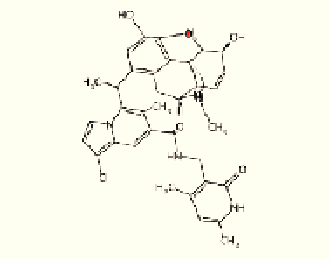 Cc1cc(C)c(CNC(=O)c2cc3c(Cl)ccn3c(C(C)c3cc(O)c4c5c3C[C@@H]3[C@@H]6C=C[C@H](O)[C@H](O4)[C@]56CCN3C)c2C)c(=O)[nH]1